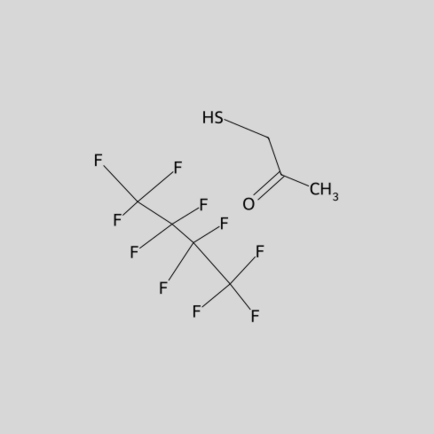 CC(=O)CS.FC(F)(F)C(F)(F)C(F)(F)C(F)(F)F